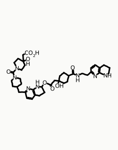 O=C(O)CC1(O)CCN(C(=O)N2CCC(Cc3ccc4c(n3)NC(OC(=O)CC3(O)CCC(C(=O)NCCc5ccc6c(n5)NCCC6)CC3)CC4)CC2)CC1